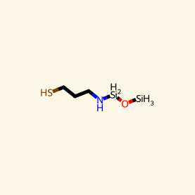 [SiH3]O[SiH2]NCCCS